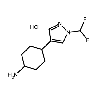 Cl.NC1CCC(c2cnn(C(F)F)c2)CC1